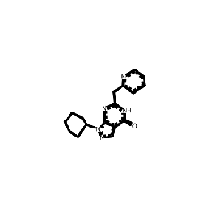 O=c1[nH]c(Cc2ccccn2)nc2c1cnn2C1CCCCC1